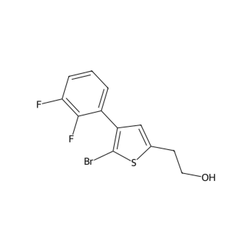 OCCc1cc(-c2cccc(F)c2F)c(Br)s1